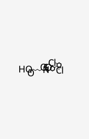 CS(=O)(=O)N(CCCCCCC(=O)O)Cc1ccc(-c2c(Cl)cccc2Cl)cc1